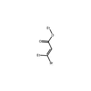 CCOC(=O)/C=C(/Br)CC